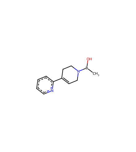 CB(O)N1CC=C(c2ccccn2)CC1